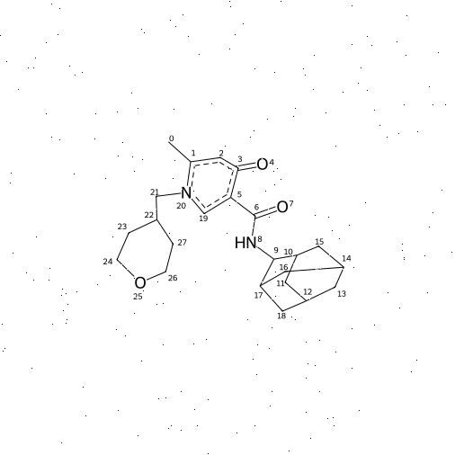 Cc1cc(=O)c(C(=O)NC2C3CC4CC(C3)CC2C4)cn1CC1CCOCC1